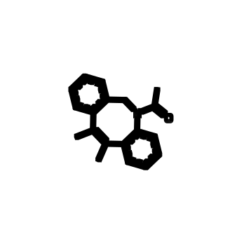 CC(=O)N1Cc2ccccc2/C(C)=C(/C)c2ccccc21